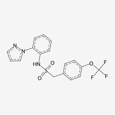 O=S(=O)(Cc1ccc(OC(F)(F)F)cc1)Nc1ccccc1-n1cccn1